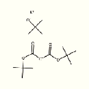 CC(C)(C)OC(=O)OC(=O)OC(C)(C)C.CC(C)(C)[O-].[K+]